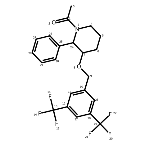 CC(=O)N1CCCC(OCc2cc(C(F)(F)F)cc(C(F)(F)F)c2)C1c1ccccc1